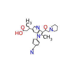 Cc1c(C(=O)CN2CCCCC2)c2ncc([C@H](C)CC(=O)O)cc2n1-c1ccc(C#N)cc1